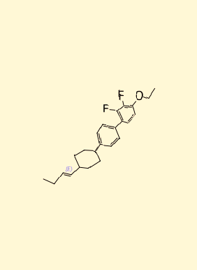 CC/C=C/C1CCC(c2ccc(-c3ccc(OCC)c(F)c3F)cc2)CC1